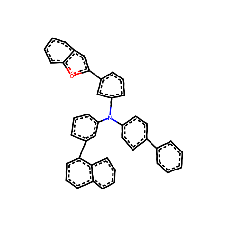 c1ccc(-c2ccc(N(c3cccc(-c4cc5ccccc5o4)c3)c3cccc(-c4cccc5ccccc45)c3)cc2)cc1